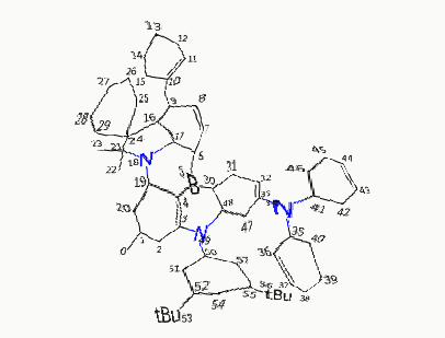 CC1CC2=C3B(C4C=CC(C5=CCCCC5)C5C4N(C3C1)C(C)(C)C51CCCCC1)C1CC=C(N(C3C=CCCC3)C3CC=CCC3)CC1N2C1CC(C(C)(C)C)CC(C(C)(C)C)C1